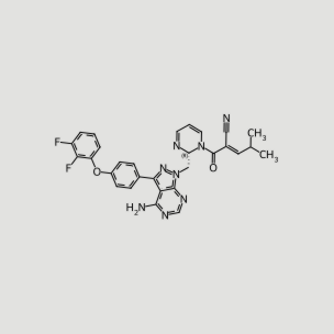 CC(C)C=C(C#N)C(=O)N1C=CC=N[C@H]1Cn1nc(-c2ccc(Oc3cccc(F)c3F)cc2)c2c(N)ncnc21